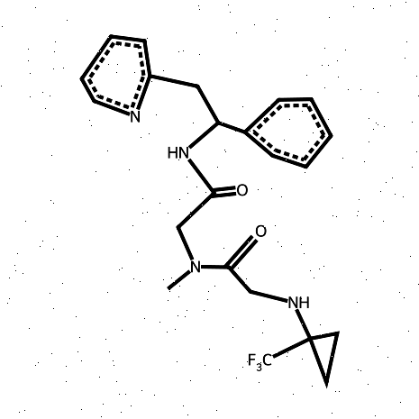 CN(CC(=O)NC(Cc1ccccn1)c1ccccc1)C(=O)CNC1(C(F)(F)F)CC1